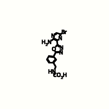 Nc1ncc(Br)nc1-c1nnc(-c2cccc(CNC(=O)O)c2)o1